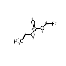 CCOS(=O)OCF